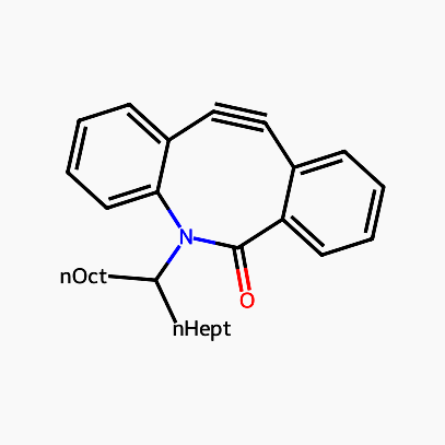 CCCCCCCCC(CCCCCCC)N1C(=O)c2ccccc2C#Cc2ccccc21